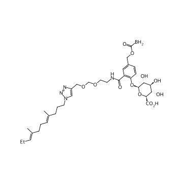 BC(=O)OCc1ccc(O[C@@H]2O[C@H](C(=O)O)[C@@H](O)[C@H](O)[C@H]2O)c(C(=O)NCCOCOCc2cn(CCC/C(C)=C/CC/C(C)=C/CC)nn2)c1